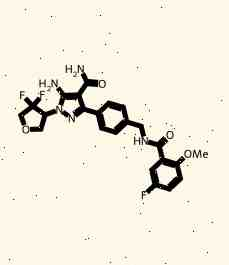 COc1ccc(F)cc1C(=O)NCc1ccc(-c2nn(C3COCC3(F)F)c(N)c2C(N)=O)cc1